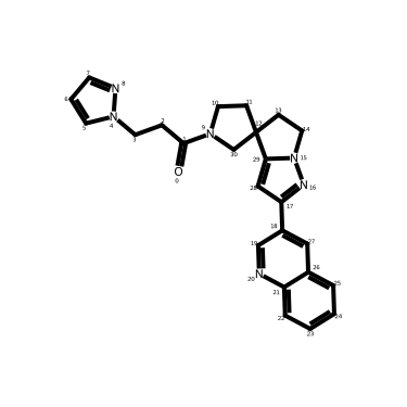 O=C(CCn1cccn1)N1CCC2(CCn3nc(-c4cnc5ccccc5c4)cc32)C1